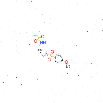 C=CS(=O)(=O)NC[C@H]1CCN(S(=O)(=O)c2ccc(OCC)cc2)C1